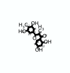 Cc1c(O)cc(-c2oc3cc(O)cc(O)c3c(=O)c2C)cc1O